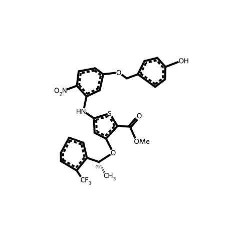 COC(=O)c1sc(Nc2cc(OCc3ccc(O)cc3)ccc2[N+](=O)[O-])cc1O[C@H](C)c1ccccc1C(F)(F)F